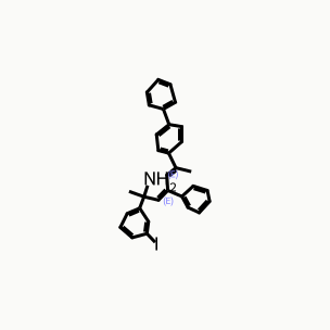 C/C(=C\C(=C/C(C)(N)c1cccc(I)c1)c1ccccc1)c1ccc(-c2ccccc2)cc1